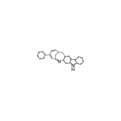 C1=CC2CC(=Nc3cc4[nH]c5ccccc5c4cc3C2)C=C1c1ccccc1